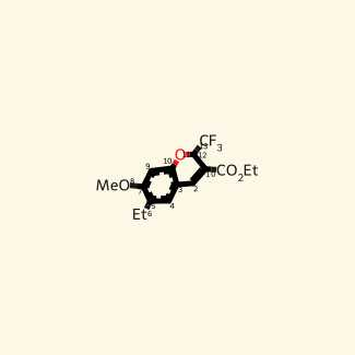 CCOC(=O)C1=Cc2cc(CC)c(OC)cc2OC1C(F)(F)F